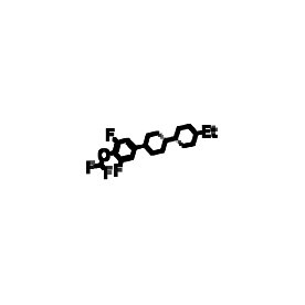 CC[C@H]1CC[C@H]([C@H]2CC[C@H](c3cc(F)c(OC(F)F)c(F)c3)CC2)CC1